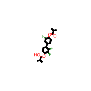 C=C(C)C(=O)Oc1ccc(-c2ccc(OC(O)C(=C)C)c(F)c2F)cc1F